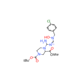 COC(=O)C1CN(C(=O)OC(C)(C)C)CCN1C(N)/N=C\N(O)Cc1ccc(Cl)cc1